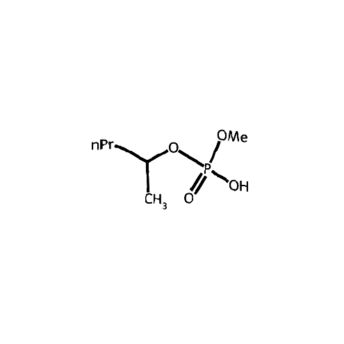 CCCC(C)OP(=O)(O)OC